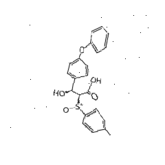 Cc1ccc([S+]([O-])[C@H](C(=O)O)[C@@H](O)c2ccc(Oc3ccccc3)cc2)cc1